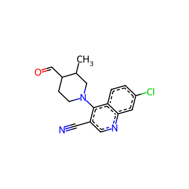 CC1CN(c2c(C#N)cnc3cc(Cl)ccc23)CCC1C=O